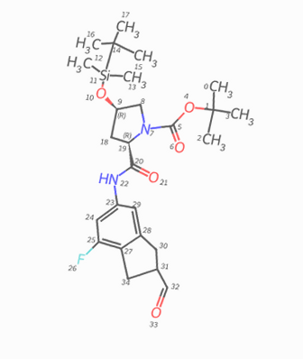 CC(C)(C)OC(=O)N1C[C@H](O[Si](C)(C)C(C)(C)C)C[C@@H]1C(=O)Nc1cc(F)c2c(c1)CC(C=O)C2